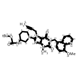 CC#CCn1c(N2CCCC(NC(=O)OC(C)(C)C)C2)nc2c1c(=O)n(Cc1ccc(OC)c3ncccc13)c(=O)n2C